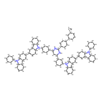 N#Cc1cccc(-c2ccc(-c3nc(-c4ccc(-n5c6ccccc6c6cc(-c7ccc8c(c7)c7ccccc7n8-c7ccccc7)ccc65)cc4)cc(-c4cccc(-n5c6ccccc6c6cc(-c7ccc8c(c7)c7ccccc7n8-c7ccccc7)ccc65)c4)n3)cc2)c1